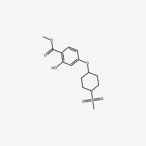 COC(=O)c1ccc(OC2CCN(S(C)(=O)=O)CC2)cc1O